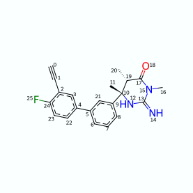 C#Cc1cc(-c2cccc([C@@]3(C)NC(=N)N(C)C(=O)[C@H]3C)c2)ccc1F